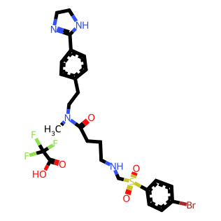 CN(CCc1ccc(C2=NCCN2)cc1)C(=O)CCCNCS(=O)(=O)c1ccc(Br)cc1.O=C(O)C(F)(F)F